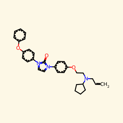 C=CCN(CCOc1ccc(-n2ccn(-c3ccc(Oc4ccccc4)cc3)c2=O)cc1)C1CCCC1